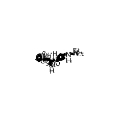 CCN(CC)CCNCc1ccc(C(=O)Nc2n[nH]c3sc(C(=O)NN(C)c4ccccc4)cc23)cc1